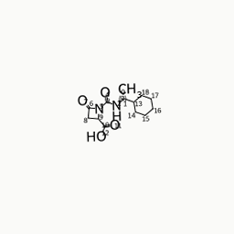 C[C@@H](NC(=O)N1C(=O)CC1C(=O)O)C1CCCCC1